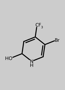 OC1C=C(C(F)(F)F)C(Br)=CN1